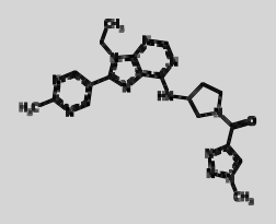 CCn1c(-c2cnc(C)nc2)nc2c(NC3CCN(C(=O)c4cn(C)nn4)C3)ncnc21